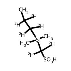 [2H]C([2H])(C)C([2H])([2H])[Si](C)(C)C([2H])([2H])S(=O)(=O)O